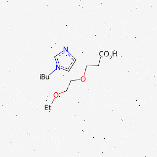 CCC(C)n1ccnc1.CCOCCOCCC(=O)O